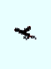 C=CCC[C@H]1[C@@H](CCCC)[C@H]1COC(=O)NCCOCCOC(=O)NCCN(CCNC(=O)OCCOCCNC(=O)CC[C@@H]1[C@@H]2CCC#CCC[C@@H]21)CCNC(=O)OCCOCCNC(=O)OC[C@@H]1[C@@H]2CC/C=C\CC[C@@H]21